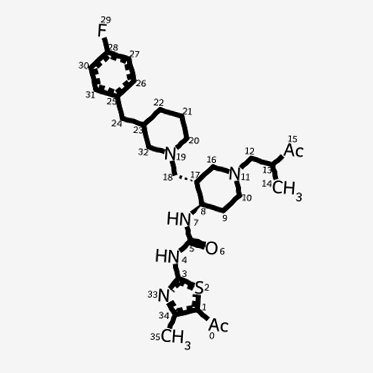 CC(=O)c1sc(NC(=O)N[C@@H]2CCN(CC(C)C(C)=O)C[C@H]2CN2CCCC(Cc3ccc(F)cc3)C2)nc1C